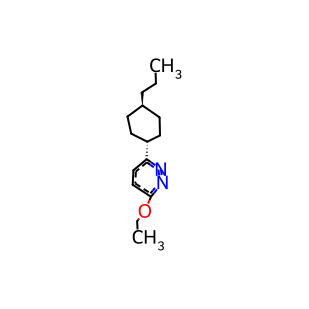 CCC[C@H]1CC[C@H](c2ccc(OCC)nn2)CC1